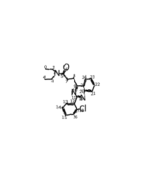 CCN(CC)C(=O)CCc1nc(-c2ccccc2Cl)nc2ccccc12